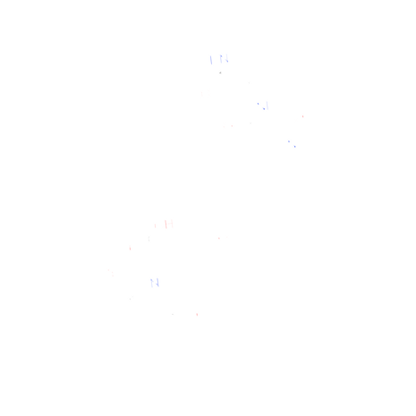 O=C(NC1CNC1=O)/C(=N\O)c1ccc(OCCC(C(=O)O)N2C(=O)c3ccccc3C2=O)cc1